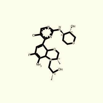 C[C@@H](O)CN1C2C(N)=C(F)C=C(c3nc(N[C@@H]4CCOC[C@H]4O)ncc3Cl)C2OC[C@@H]1C